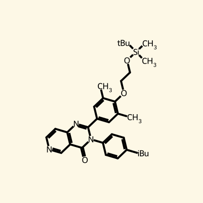 CCC(C)c1ccc(-n2c(-c3cc(C)c(OCCO[Si](C)(C)C(C)(C)C)c(C)c3)nc3ccncc3c2=O)cc1